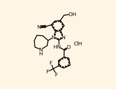 Cl.N#Cc1cc(CO)cc2nc(NC(=O)c3cccc(C(F)(F)F)c3)n(C3CCCCNC3)c12